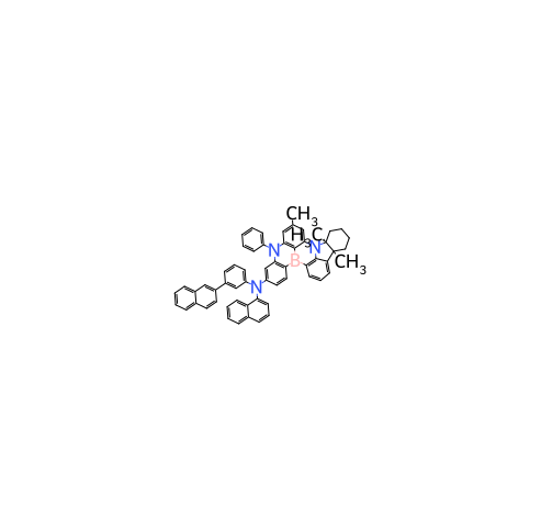 Cc1cc2c3c(c1)N1c4c(cccc4C4(C)CCCC[C@@]14C)B3c1ccc(N(c3cccc(-c4ccc5ccccc5c4)c3)c3cccc4ccccc34)cc1N2c1ccccc1